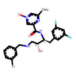 CCc1cccc(CNC[C@@H](O)[C@H](Cc2cc(F)cc(F)c2)NC(=O)c2c[n+]([O-])cc(OC)n2)c1